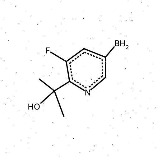 Bc1cnc(C(C)(C)O)c(F)c1